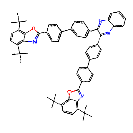 CC(C)(C)c1ccc(C(C)(C)C)c2oc(-c3ccc(-c4ccc(-c5nc6ccccc6nc5-c5ccc(-c6ccc(-c7nc8c(C(C)(C)C)ccc(C(C)(C)C)c8o7)cc6)cc5)cc4)cc3)nc12